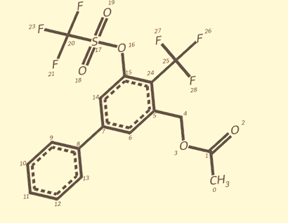 CC(=O)OCc1cc(-c2ccccc2)cc(OS(=O)(=O)C(F)(F)F)c1C(F)(F)F